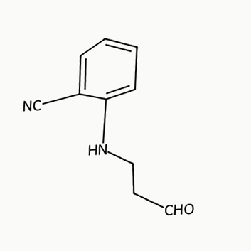 N#Cc1ccccc1NCCC=O